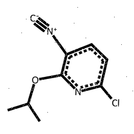 [C-]#[N+]c1ccc(Cl)nc1OC(C)C